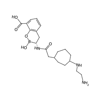 NCCNC1CCCC(CC(=O)N[C@H]2Cc3cccc(C(=O)O)c3OB2O)CC1